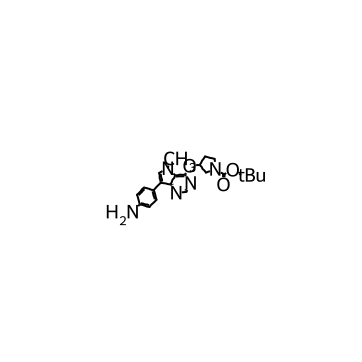 Cn1cc(-c2ccc(N)cc2)c2ncnc(OC3CCN(C(=O)OC(C)(C)C)C3)c21